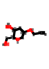 CCO[C@H]1CO[C@H](CO)[C@@H](O)C1